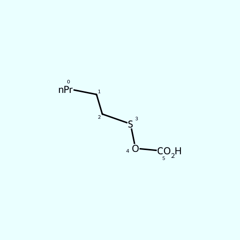 CCCCCSOC(=O)O